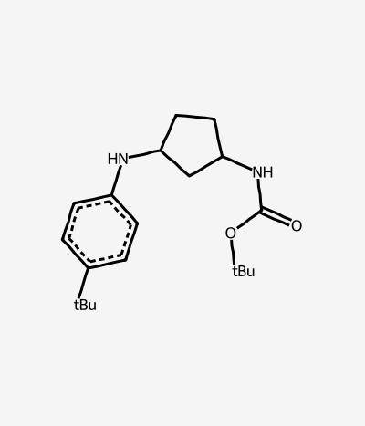 CC(C)(C)OC(=O)NC1CCC(Nc2ccc(C(C)(C)C)cc2)C1